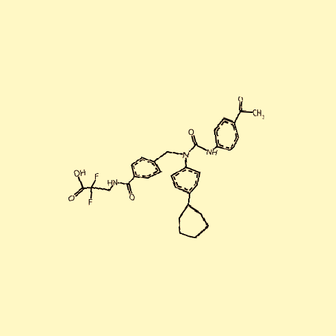 CC(=O)c1ccc(NC(=O)N(Cc2ccc(C(=O)NCC(F)(F)C(=O)O)cc2)c2ccc(C3CCCCC3)cc2)cc1